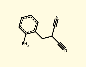 Bc1ccccc1CC(C#N)C#N